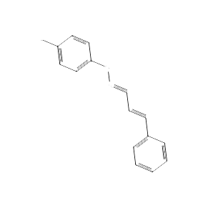 Ic1ccc(NN=CC=Cc2ccccc2)cc1